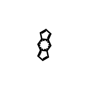 [C]1=Cc2cc3c(cc2=C1)C=CC=3